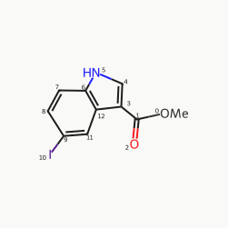 COC(=O)c1c[nH]c2ccc(I)cc12